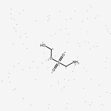 NCS(=O)(=O)OCO